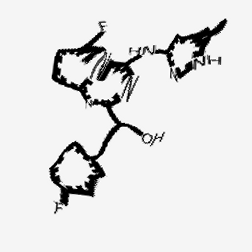 Cc1cc(Nc2nc(C(O)c3ccc(F)cc3)nc3ccc(F)n23)n[nH]1